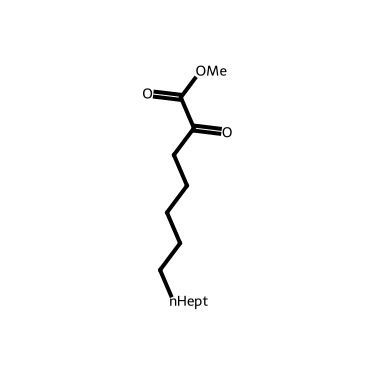 CCCCCCCCCCCCC(=O)C(=O)OC